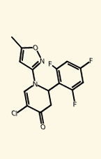 Cc1cc(N2C=C(Cl)C(=O)CC2c2c(F)cc(F)cc2F)no1